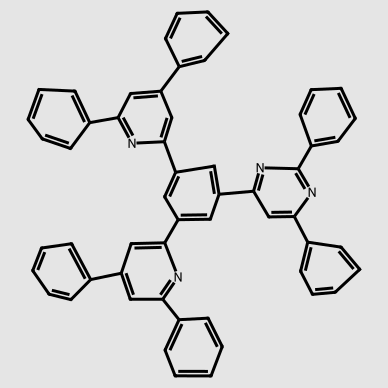 c1ccc(-c2cc(-c3ccccc3)nc(-c3cc(-c4cc(-c5ccccc5)cc(-c5ccccc5)n4)cc(-c4cc(-c5ccccc5)nc(-c5ccccc5)n4)c3)c2)cc1